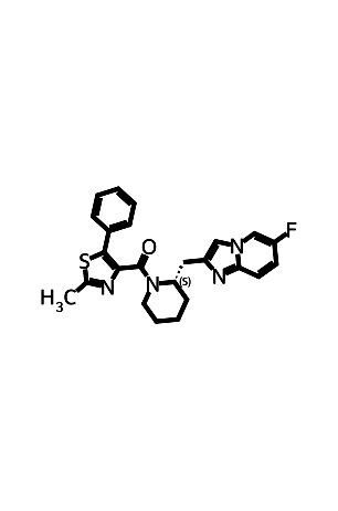 Cc1nc(C(=O)N2CCCC[C@H]2Cc2cn3cc(F)ccc3n2)c(-c2ccccc2)s1